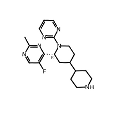 Cc1ncc(F)c([C@H]2CC(C3CCNCC3)CCN2c2ncccn2)n1